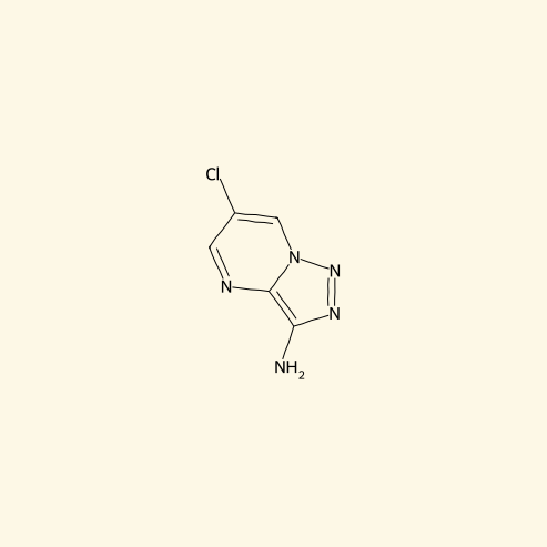 Nc1nnn2cc(Cl)cnc12